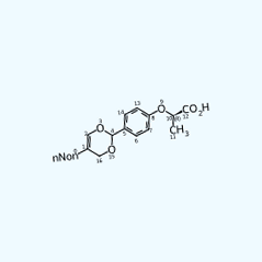 CCCCCCCCCC1=COC(c2ccc(O[C@H](C)C(=O)O)cc2)OC1